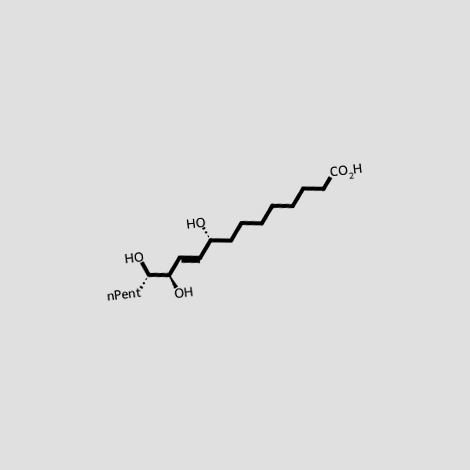 CCCCC[C@H](O)[C@H](O)/C=C/[C@H](O)CCCCCCCC(=O)O